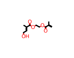 C=C(C)C(=O)OCCOC(=O)C(C)=CCO